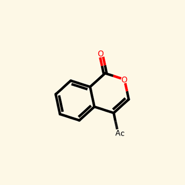 CC(=O)c1coc(=O)c2ccccc12